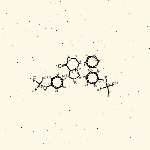 O=C1OC[C@H](c2ccccc2)N2C1[C@@H](c1ccc(OC(F)(F)F)cc1)O[C@H]2c1ccc(OC(F)(F)F)cc1